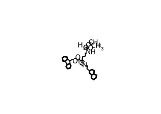 CC(C)(C)OC(=O)NCCCC1CN(CCc2ccc3ccccc3c2)CCN1C(=O)OCC1c2ccccc2-c2ccccc21